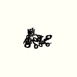 [Co+2].[Ni+2].[O]=[Mn](=[O])([O-])[O-].[O]=[Mn](=[O])([O-])[O-]